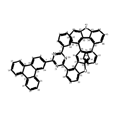 c1ccc(-c2nc(-c3ccc4c5ccccc5c5ccccc5c4c3)nc(-c3cccc4oc5ccc(-c6cccc7sc8cccc(-c9ccccc9)c8c67)cc5c34)n2)cc1